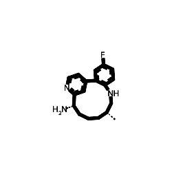 C[C@@H]1CCC[C@H](N)c2cc(ccn2)-c2cc(F)ccc2NC1